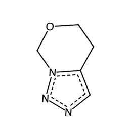 c1nnn2c1CCOC2